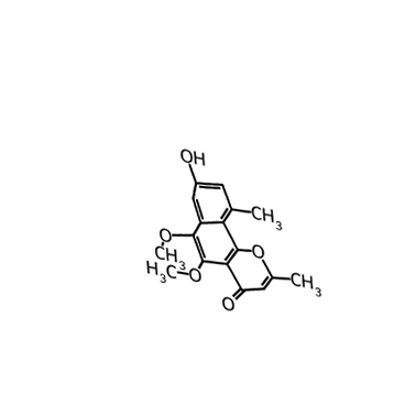 COc1c(OC)c2c(=O)cc(C)oc2c2c(C)cc(O)cc12